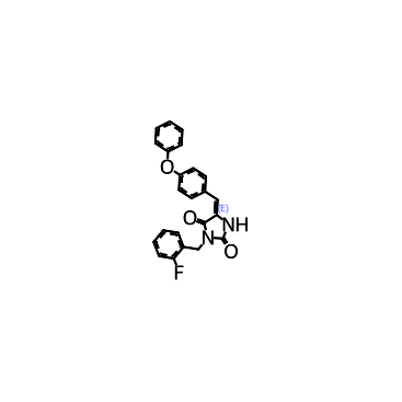 O=C1N/C(=C/c2ccc(Oc3ccccc3)cc2)C(=O)N1Cc1ccccc1F